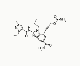 CCCn1c(NC(=O)c2cc(C)nn2CC)nc2cc(C(N)=O)cc(C#CCOC(N)=O)c21